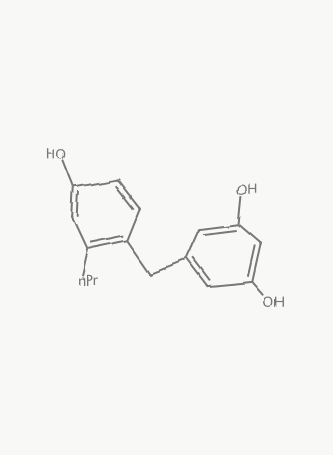 CCCc1cc(O)ccc1Cc1cc(O)cc(O)c1